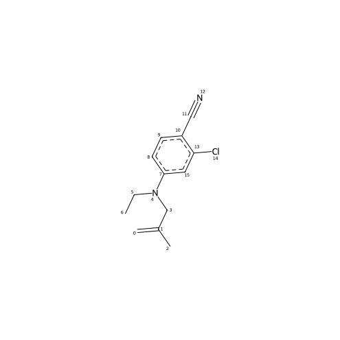 C=C(C)CN(CC)c1ccc(C#N)c(Cl)c1